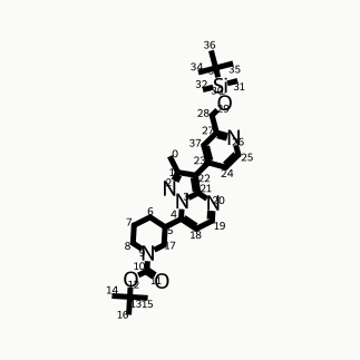 Cc1nn2c(C3CCCN(C(=O)OC(C)(C)C)C3)ccnc2c1-c1ccnc(CO[Si](C)(C)C(C)(C)C)c1